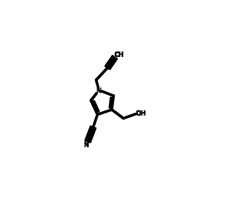 C#CCn1cc(C#N)c(CO)c1